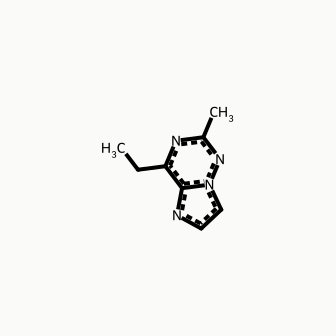 CCc1nc(C)nn2ccnc12